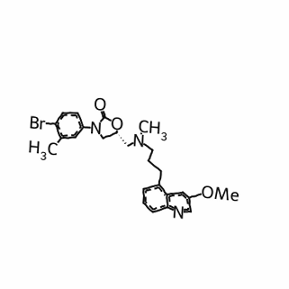 COc1cnc2cccc(CCCN(C)C[C@@H]3CN(c4ccc(Br)c(C)c4)C(=O)O3)c2c1